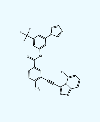 Cc1ccc(C(=O)Nc2cc(-n3ccnc3)cc(C(F)(F)F)c2)cc1C#Cc1nnc2cccc(Cl)n12